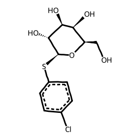 OC[C@H]1O[C@@H](Sc2ccc(Cl)cc2)[C@H](O)[C@@H](O)[C@H]1O